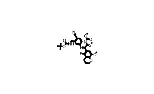 COC(=O)/N=C(\SC)C(=Nc1ccc(C#N)c(CNC(=O)OC(C)(C)C)c1)c1cc(OC)c2c(c1F)CCCO2